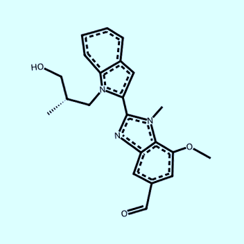 COc1cc(C=O)cc2nc(-c3cc4ccccc4n3C[C@H](C)CO)n(C)c12